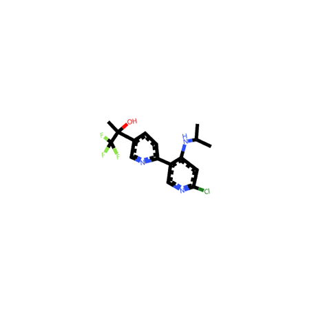 CC(C)Nc1cc(Cl)ncc1-c1ccc(C(C)(O)C(F)(F)F)cn1